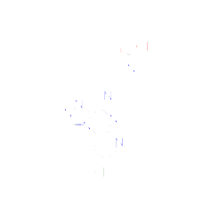 CN(C(=O)O)C1CCN(c2nc3ncc(Cl)cc3n3cnnc23)C1